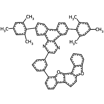 Cc1cc(C)c(-c2ccc3c4ccc(-c5c(C)cc(C)cc5C)cc4c4nc(-c5cccc(-c6cccc7c6oc6c7ccc7oc8ccccc8c76)c5)cnc4c3c2)c(C)c1